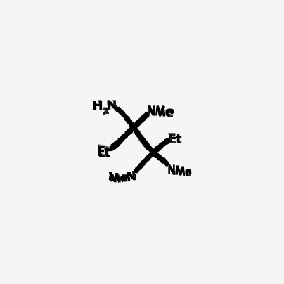 CCC(N)(NC)C(CC)(NC)NC